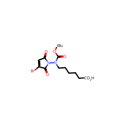 CC(C)(C)OC(=O)N(CCCCCC(=O)O)N1C(=O)C=C(Br)C1=O